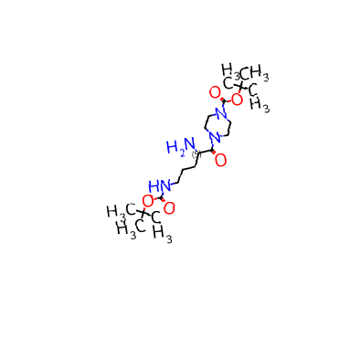 CC(C)(C)OC(=O)NCCC[C@H](N)C(=O)N1CCN(C(=O)OC(C)(C)C)CC1